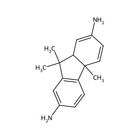 CC1(C)c2cc(N)ccc2C2(C)C=CC(N)=CC12